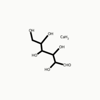 O=CC(O)C(O)C(O)C(O)CO.[CaH2]